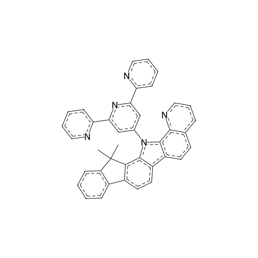 CC1(C)c2ccccc2-c2ccc3c4ccc5cccnc5c4n(-c4cc(-c5ccccn5)nc(-c5ccccn5)c4)c3c21